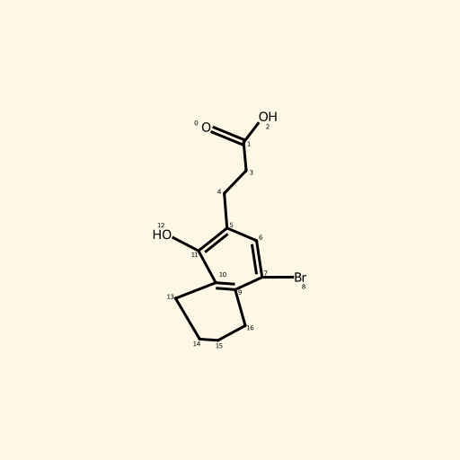 O=C(O)CCc1cc(Br)c2c(c1O)CCCC2